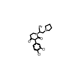 CC(C)C(CN1CCCC1)N1CCC(=O)C(c2ccc(Cl)c(Cl)c2)C1=O